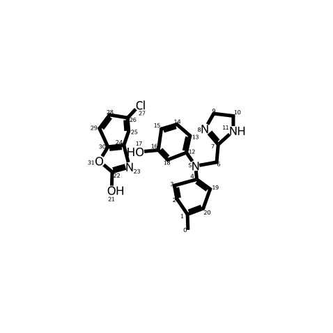 Cc1ccc(N(CC2=NCCN2)c2cccc(O)c2)cc1.Oc1nc2cc(Cl)ccc2o1